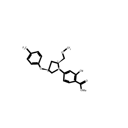 COC(=O)c1ccc(N2C[C@@H](Oc3ccc(C(F)(F)F)cc3)C[C@H]2COC(F)(F)F)cc1C#N